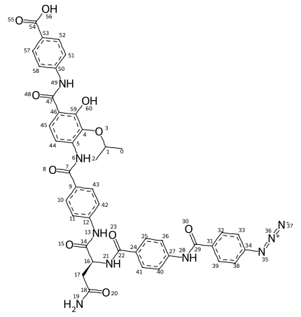 CC(C)Oc1c(NC(=O)c2ccc(NC(=O)[C@H](CC(N)=O)NC(=O)c3ccc(NC(=O)c4ccc(N=[N+]=[N-])cc4)cc3)cc2)ccc(C(=O)Nc2ccc(C(=O)O)cc2)c1O